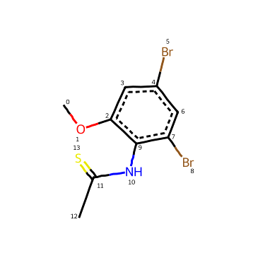 COc1cc(Br)cc(Br)c1NC(C)=S